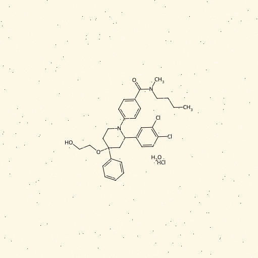 CCCCN(C)C(=O)c1ccc(N2CCC(OCCO)(c3ccccc3)CC2c2ccc(Cl)c(Cl)c2)cc1.Cl.O